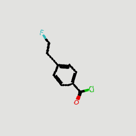 O=C(Cl)c1ccc(CCF)cc1